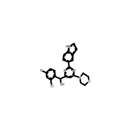 Fc1ccc(C(S)c2cc(N3CCOCC3)nc(-c3ccc4[nH]ccc4c3)n2)c(Cl)c1